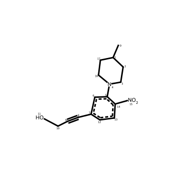 CC1CCN(c2cc(C#CCO)ccc2[N+](=O)[O-])CC1